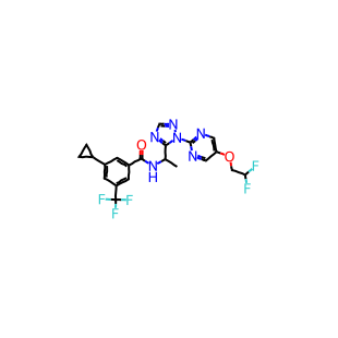 CC(NC(=O)c1cc(C2CC2)cc(C(F)(F)F)c1)c1ncnn1-c1ncc(OCC(F)F)cn1